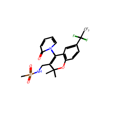 CC1(C)Oc2ccc(C(F)(F)C(F)(F)F)cc2C(n2ccccc2=O)=C1CNS(C)(=O)=O